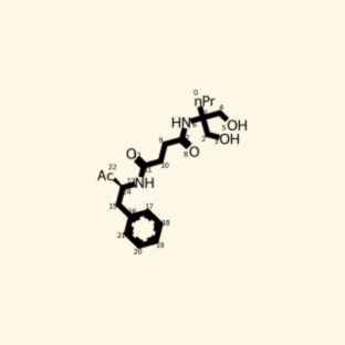 CCCC(CO)(CO)NC(=O)CCC(=O)N[C@@H](Cc1ccccc1)C(C)=O